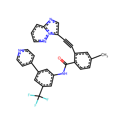 Cc1ccc(C(=O)Nc2cc(-c3ccncc3)cc(C(F)(F)F)c2)c(C#Cc2cnc3cccnn23)c1